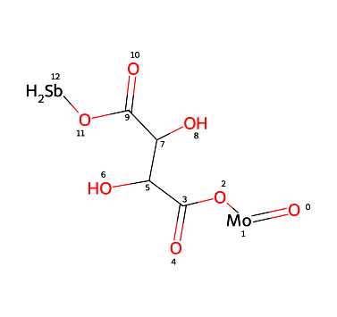 [O]=[Mo][O]C(=O)C(O)C(O)C(=O)[O][SbH2]